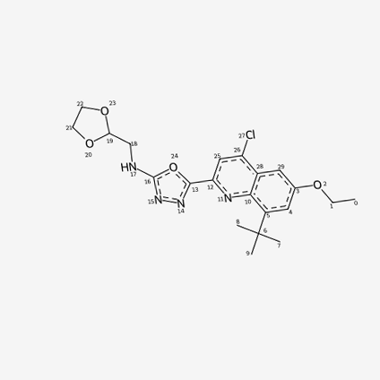 CCOc1cc(C(C)(C)C)c2nc(-c3nnc(NCC4OCCO4)o3)cc(Cl)c2c1